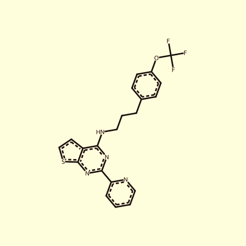 FC(F)(F)Oc1ccc(CCCNc2nc(-c3ccccn3)nc3sccc23)cc1